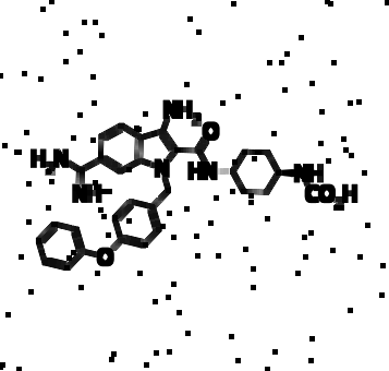 N=C(N)c1ccc2c(N)c(C(=O)N[C@H]3CC[C@H](NC(=O)O)CC3)n(Cc3ccc(Oc4ccccc4)cc3)c2c1